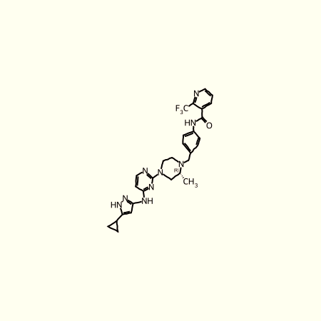 C[C@@H]1CN(c2nccc(Nc3cc(C4CC4)[nH]n3)n2)CCN1Cc1ccc(NC(=O)c2cccnc2C(F)(F)F)cc1